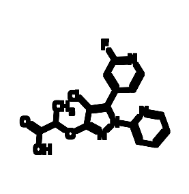 CC(Oc1nn(-c2ccccn2)c(-c2ccnc(F)c2)c1Cl)C(=O)O